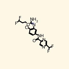 N/C(=N/c1cc(NC(=O)c2cnc(C(F)F)cn2)ccc1Cl)OCCC(F)F